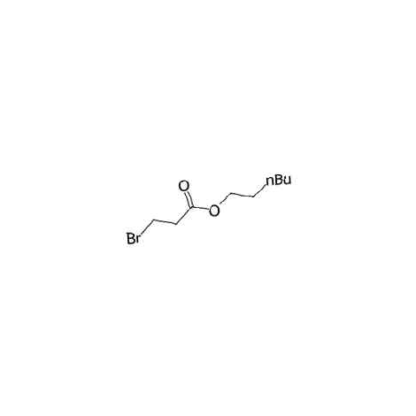 CCCCCCOC(=O)CCBr